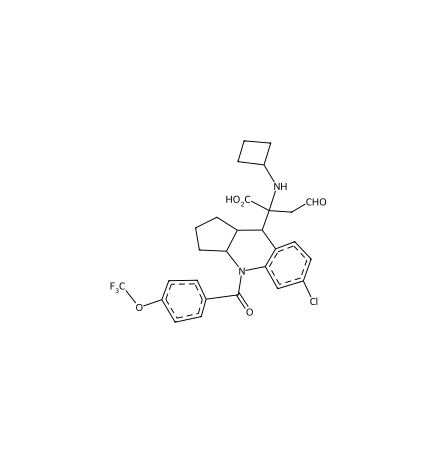 O=CCC(NC1CCC1)(C(=O)O)C1c2ccc(Cl)cc2N(C(=O)c2ccc(OC(F)(F)F)cc2)C2CCCC21